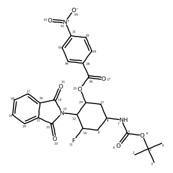 CC(C)(C)OC(=O)NC1CC(F)C(N2C(=O)c3ccccc3C2=O)C(OC(=O)c2ccc([N+](=O)[O-])cc2)C1